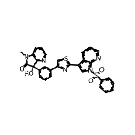 CN1C(=O)[C@@](O)(c2cccc(-c3csc(-c4cn(S(=O)(=O)c5ccccc5)c5ncccc45)n3)c2)c2ncccc21